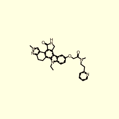 CCn1c2ccc(OCC(=O)N(C)CCc3ccccn3)cc2c2c3c(c4c(c21)CCc1nn(C)cc1-4)C(=O)NC3